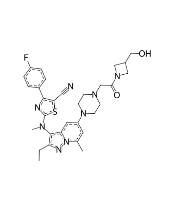 CCc1nn2c(C)cc(N3CCN(CC(=O)N4CC(CO)C4)CC3)cc2c1N(C)c1nc(-c2ccc(F)cc2)c(C#N)s1